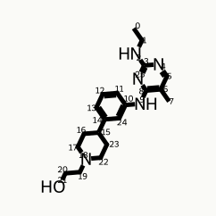 CCNc1ncc(C)c(Nc2cccc(C3CCN(CCO)CC3)c2)n1